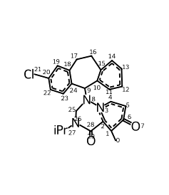 Cc1c2n(ccc1=O)N(C1c3ccccc3CCc3cc(Cl)ccc31)CN(C(C)C)C2=O